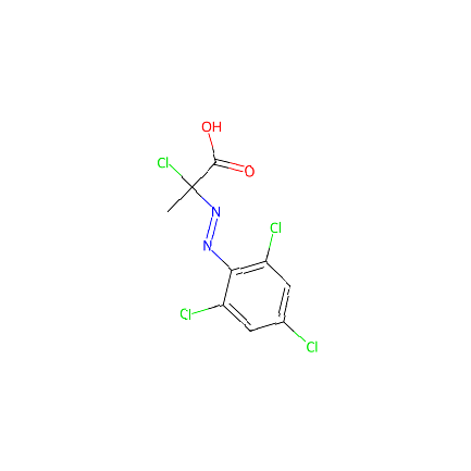 CC(Cl)(/N=N/c1c(Cl)cc(Cl)cc1Cl)C(=O)O